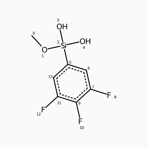 CO[Si](O)(O)c1cc(F)c(F)c(F)c1